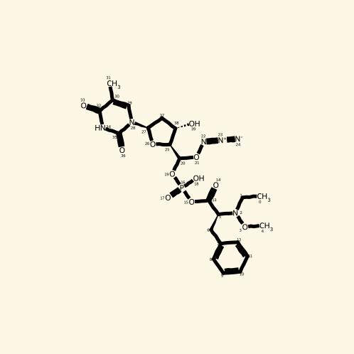 CCN(OC)[C@@H](Cc1ccccc1)C(=O)OP(=O)(O)OC(ON=[N+]=[N-])[C@H]1O[C@@H](n2cc(C)c(=O)[nH]c2=O)C[C@@H]1O